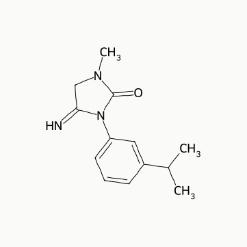 CC(C)c1cccc(N2C(=N)CN(C)C2=O)c1